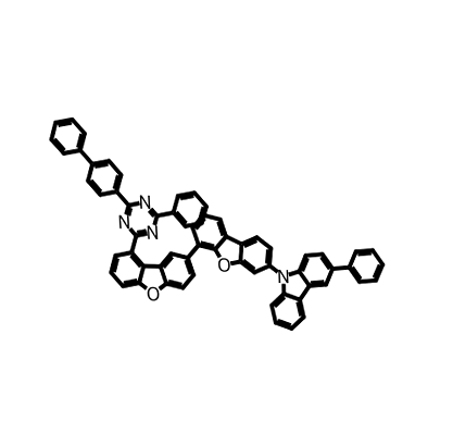 c1ccc(-c2ccc(-c3nc(-c4ccccc4)nc(-c4cccc5oc6ccc(-c7cccc8c7oc7cc(-n9c%10ccccc%10c%10cc(-c%11ccccc%11)ccc%109)ccc78)cc6c45)n3)cc2)cc1